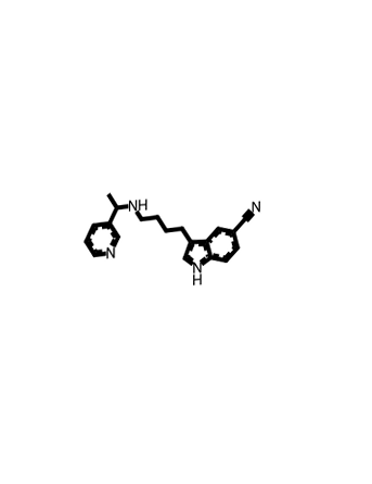 CC(NCCCCc1c[nH]c2ccc(C#N)cc12)c1cccnc1